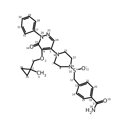 CC1(COc2c(N3CCN([S+]([O-])Cc4ccc(C(N)=O)cc4)CC3)cnn(-c3ccccc3)c2=O)CC1